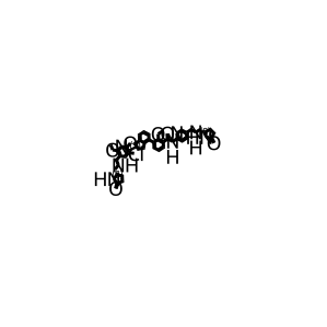 COc1nc(O[C@H]2CCc3c(-c4cccc(C(=O)Nc5ccc(CNC[C@@H]6CCC(=O)N6)cn5)c4OC)cccc32)c(Cl)cc1CNC[C@@H]1CCC(=O)N1